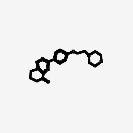 O=C1CCCc2cnc(-c3ccc(OCCN4CCOCC4)cc3)nc21